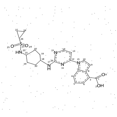 O=C(O)c1cccc2c1ccn2-c1ccnc(NC2CCC(NS(=O)(=O)C3CC3)CC2)n1